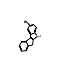 Brc1ccc2[nH]c3c(c2c1)-c1ccccc1C3